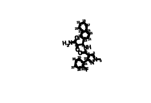 Cn1cc(C(=O)NC(C(=O)C(N)=O)c2ccc3ccccc3c2)c(-c2ccccc2F)n1